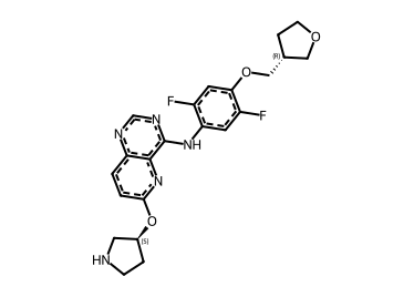 Fc1cc(OC[C@@H]2CCOC2)c(F)cc1Nc1ncnc2ccc(O[C@H]3CCNC3)nc12